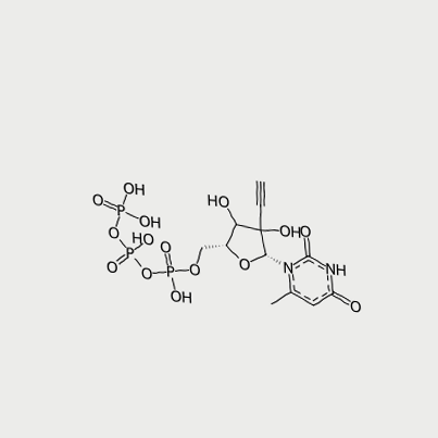 C#CC1(O)C(O)[C@@H](COP(=O)(O)OP(=O)(O)OP(=O)(O)O)O[C@H]1n1c(C)cc(=O)[nH]c1=O